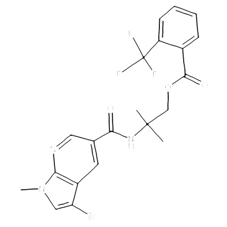 Cn1cc(Br)c2cc(C(=O)NC(C)(C)COC(=O)c3ccccc3C(F)(F)F)cnc21